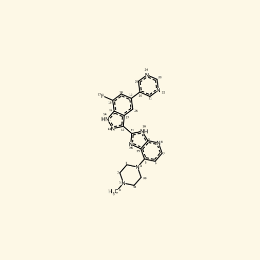 CN1CCN(c2ccnc3[nH]c(-c4n[nH]c5c(F)cc(-c6cncnc6)cc45)nc23)CC1